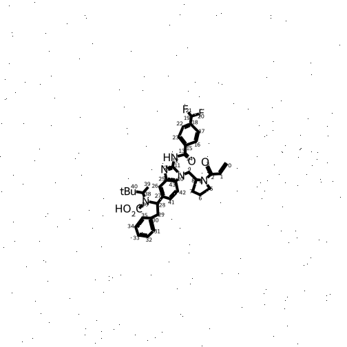 C=CC(=O)N1CCCC1Cn1c(NC(=O)c2ccc(C(F)F)cc2)nc2cc(C(Cc3ccccc3)N(C(=O)O)C(C)C(C)(C)C)ccc21